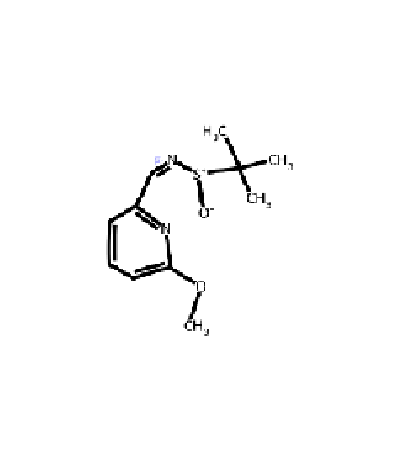 COc1cccc(/C=N\[S+]([O-])C(C)(C)C)n1